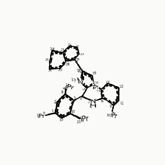 CC(C)c1cc(C(C)C)c(C(Nc2c(C(C)C)cccc2C(C)C)c2nc(-c3cccc4ccccc34)cs2)c(C(C)C)c1